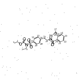 CCOC(=O)N(CC)S(=O)(=O)c1ccc(CCNC(=O)c2ccccc2OC)cc1